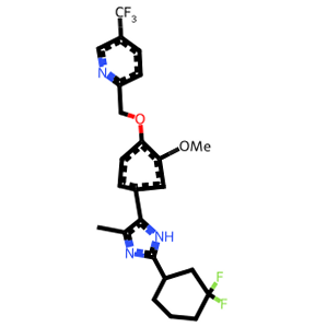 COc1cc(-c2[nH]c(C3CCCC(F)(F)C3)nc2C)ccc1OCc1ccc(C(F)(F)F)cn1